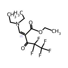 CCOC(=O)/C(=C\N(CC)CC)C(=O)C(F)(F)C(F)(F)F